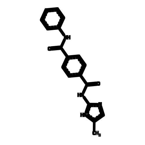 Cc1cnc(NC(=O)c2ccc(C(=O)Nc3ccccc3)cc2)[nH]1